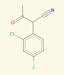 CC(=O)C(C#N)c1ccc(F)cc1Cl